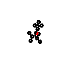 c1ccc(-c2cc(-c3ccccc3)cc(N(c3ccc(-c4ccc5c(-c6ccccc6)c(-c6ccccc6)c6ccccc6c5c4)cc3)c3ccc(-c4ccccc4)cc3-c3ccccc3)c2)cc1